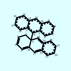 C1=CCC2(c3c4ccccc4cc4ccccc34)C=c3ccccc3=CC2=C1